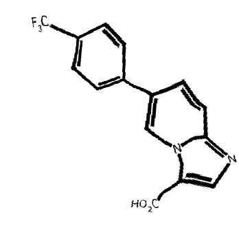 O=C(O)c1cnc2ccc(-c3ccc(C(F)(F)F)cc3)cn12